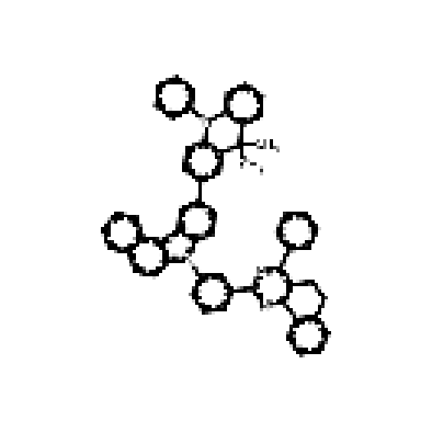 CC1(C)c2ccccc2N(c2ccccc2)c2ccc(-c3ccc4c(c3)c3c5ccccc5ccc3n4-c3cccc(-c4nc(-c5ccccc5)c5c(n4)-c4ccccc4CC5)c3)cc21